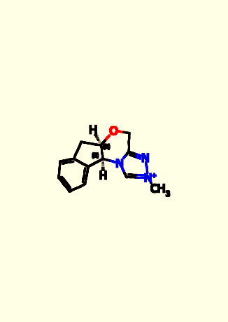 C[n+]1cn2c(n1)CO[C@@H]1Cc3ccccc3[C@@H]12